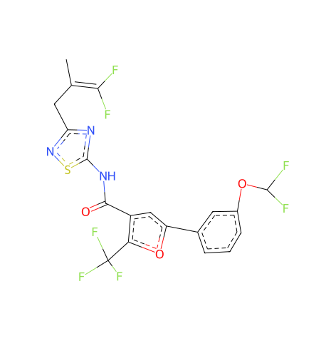 CC(Cc1nsc(NC(=O)c2cc(-c3cccc(OC(F)F)c3)oc2C(F)(F)F)n1)=C(F)F